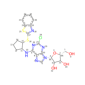 OC[C@H]1O[C@@H](n2cnc3c(NC4CCCC4Sc4nc5ccccc5s4)nc(Cl)nc32)C(O)C1O